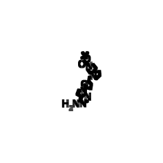 CC(C)(C)OC(=O)N1CCC2(CCCN2CC2CCC(n3ccc4c(N)ncnc43)O2)CC1